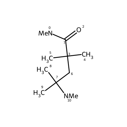 CNC(=O)C(C)(C)CC(C)(C)NC